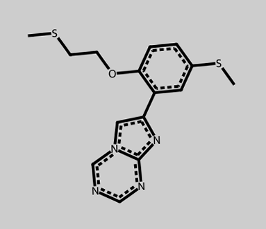 CSCCOc1ccc(SC)cc1-c1cn2cncnc2n1